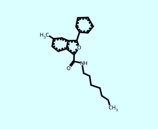 CCCCCCCNC(=O)c1oc(-c2ccccc2)c2cc(C)ccc12